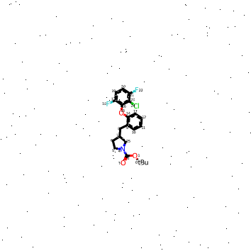 CC(C)(C)OC(=O)N1CCC(Cc2ccccc2Oc2c(F)ccc(F)c2Cl)C1